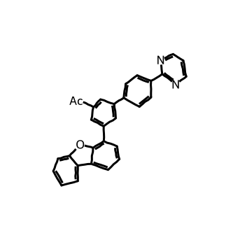 CC(=O)c1cc(-c2ccc(-c3ncccn3)cc2)cc(-c2cccc3c2oc2ccccc23)c1